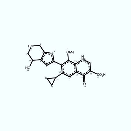 COc1c(-c2cc3c(s2)CNCC3O)c(C2CC2)cc2c(=O)c(C(=O)O)c[nH]c12